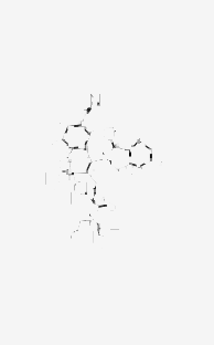 CCN(C)C(=S)NCC1=C(N2Cc3ccccc3C2=O)c2cc(C#N)ccc2OC1(C)C